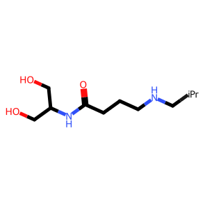 CC(C)CNCCCC(=O)NC(CO)CO